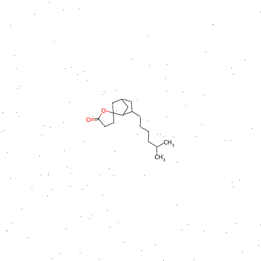 CC(C)CCCCC1CC2CC1C1(CCC(=O)O1)C2